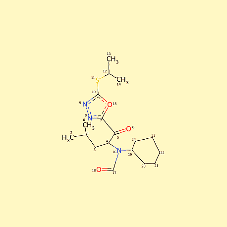 CC(C)CC(C(=O)c1nnc(SC(C)C)o1)N(C=O)C1CCCCC1